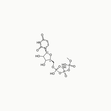 COP(=O)(O)OP(=O)(O)OP(=O)(O)OC[C@@H]1O[C@H](n2ccc(=O)[nH]c2=O)C(O)C1O